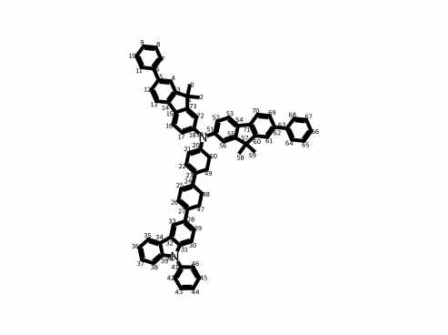 CC1(C)c2cc(-c3ccccc3)ccc2-c2ccc(N(C3=CC=C(C4=CC=C(c5ccc6c(c5)c5ccccc5n6-c5ccccc5)CC4)CC3)c3ccc4c(c3)C(C)(C)c3cc(-c5ccccc5)ccc3-4)cc21